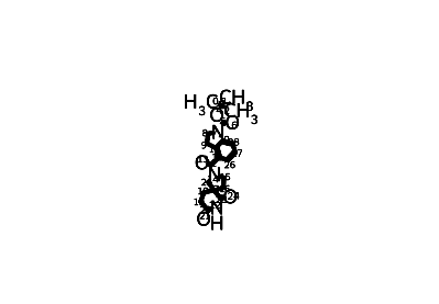 CC(C)(C)OC(=O)N1CCc2c(C(=O)N3CCC4(CCC(=O)NC4=O)C3)cccc21